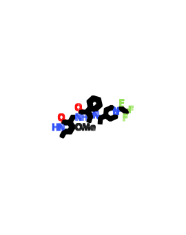 COc1cc(C)[nH]c(=O)c1CNC(=O)c1c(C)n(C(C)C2CCN(C(F)C(F)F)CC2)c2ccccc12